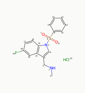 CNCc1cn(S(=O)(=O)c2ccccc2)c2ccc(F)cc12.Cl